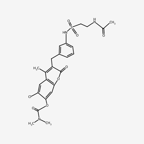 CC(=O)NCCS(=O)(=O)Nc1cccc(Cc2c(C)c3cc(Cl)c(OC(=O)N(C)C)cc3oc2=O)c1